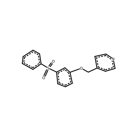 O=S(=O)(c1cc[c]cc1)c1cc[c]c(OCc2ccncc2)c1